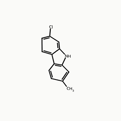 Cc1ccc2c(c1)[nH]c1cc(Cl)ccc12